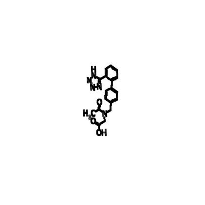 CC(=O)N(CC(=O)O)Cc1ccc(-c2ccccc2-c2nnn[nH]2)cc1